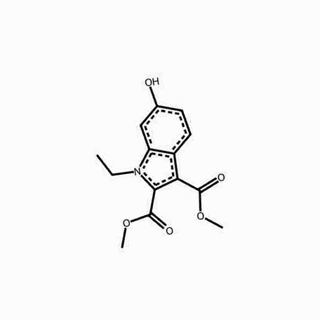 CCn1c(C(=O)OC)c(C(=O)OC)c2ccc(O)cc21